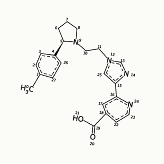 Cc1ccc([C@H]2CCCN2CCn2cnc(-c3cc(C(=O)O)ccn3)c2)cc1